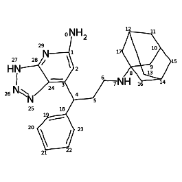 Nc1cc(C(CCNC23CC4CC(CC(C4)C2)C3)c2ccccc2)c2nn[nH]c2n1